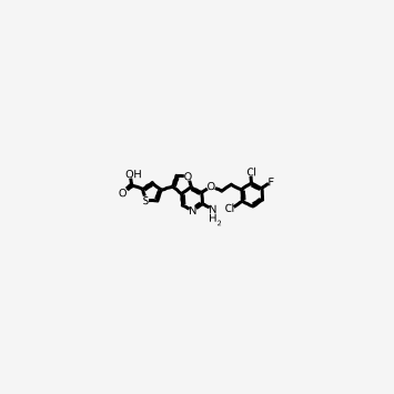 Nc1ncc2c(-c3csc(C(=O)O)c3)coc2c1OCCc1c(Cl)ccc(F)c1Cl